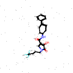 O=C(NC1CCC(c2ccccc2)CC1)C1=C(O)C(=O)N(CCCC(F)(F)F)C1